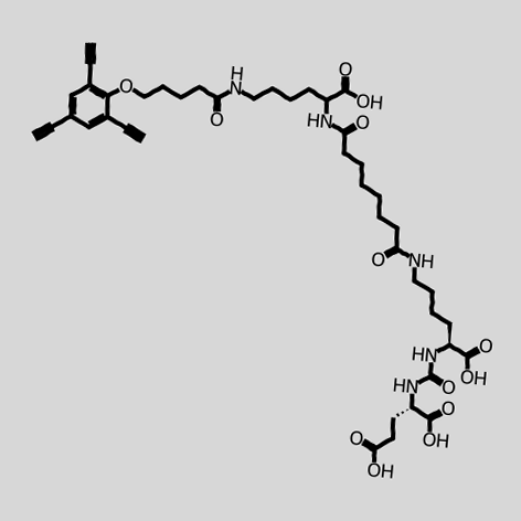 C#Cc1cc(C#C)c(OCCCCC(=O)NCCCCC(NC(=O)CCCCCCC(=O)NCCCC[C@H](NC(=O)N[C@@H](CCC(=O)O)C(=O)O)C(=O)O)C(=O)O)c(C#C)c1